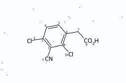 N#Cc1c(Cl)ccc(CC(=O)O)c1Cl